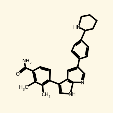 Cc1c(C(N)=O)ccc(-c2c[nH]c3ncc(-c4ccc(C5CCCCN5)cc4)cc23)c1C